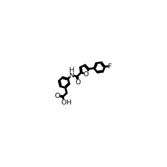 O=C(O)Cc1cccc(NC(=O)c2ccc(-c3ccc(F)cc3)o2)c1